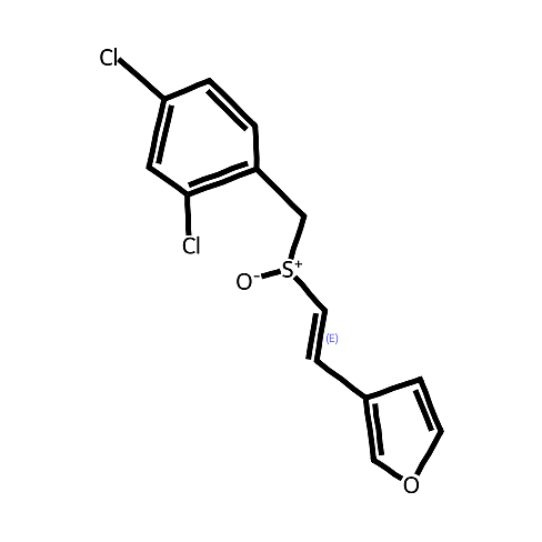 [O-][S+](/C=C/c1ccoc1)Cc1ccc(Cl)cc1Cl